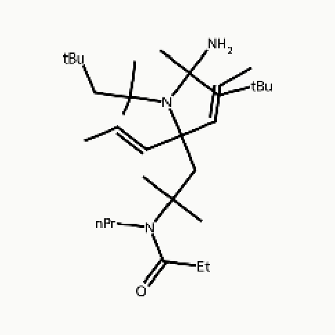 CC=CC(C=CC)(CC(C)(C)N(CCC)C(=O)CC)N(C(C)(C)CC(C)(C)C)C(C)(N)CC(C)(C)C